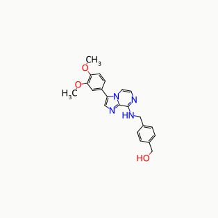 COc1ccc(-c2cnc3c(NCc4ccc(CO)cc4)nccn23)cc1OC